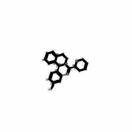 O=C([C@@H]1CC=CCO1)N1CCc2ccccc2[C@@H]1c1ccc(F)cc1